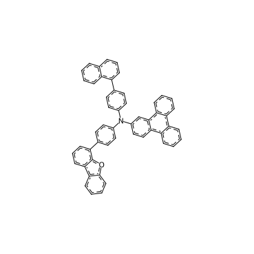 c1ccc2c(-c3ccc(N(c4ccc(-c5cccc6c5oc5ccccc56)cc4)c4ccc5c6ccccc6c6ccccc6c5c4)cc3)cccc2c1